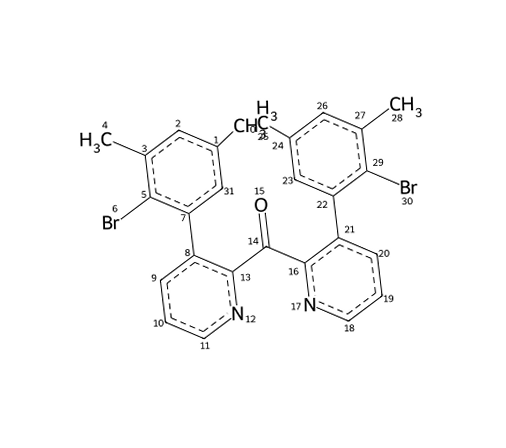 Cc1cc(C)c(Br)c(-c2cccnc2C(=O)c2ncccc2-c2cc(C)cc(C)c2Br)c1